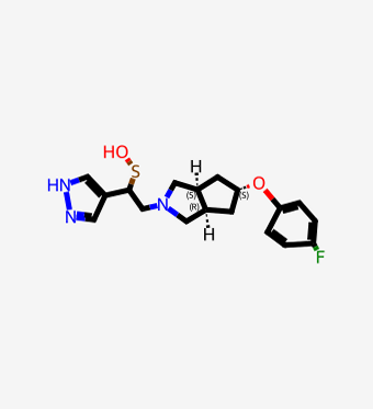 OSC(CN1C[C@H]2C[C@H](Oc3ccc(F)cc3)C[C@H]2C1)c1cn[nH]c1